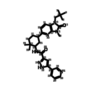 Cn1c(=O)n(CC(C)(C)C)c2ccc(C3CCC(C)(C)C(NC(=O)c4cc(-c5cccnc5)[nH]n4)C3)nc21